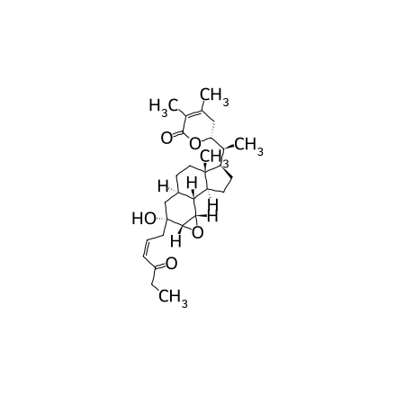 CCC(=O)/C=C\C[C@@]1(O)C[C@H]2CC[C@]3(C)[C@@H]([C@H](C)[C@H]4CC(C)=C(C)C(=O)O4)CC[C@H]3[C@@H]2[C@@H]2O[C@@H]21